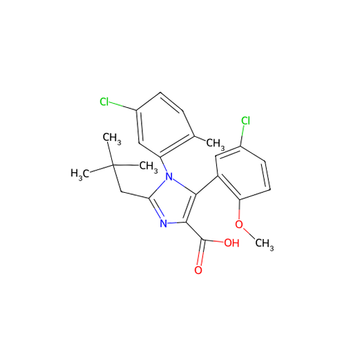 COc1ccc(Cl)cc1-c1c(C(=O)O)nc(CC(C)(C)C)n1-c1cc(Cl)ccc1C